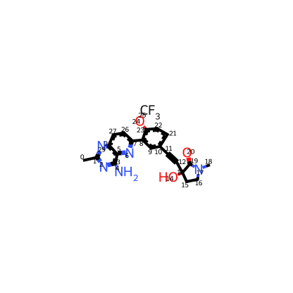 Cc1nc(N)c2nc(-c3cc(C#CC4(O)CCN(C)C4=O)ccc3OC(F)(F)F)ccc2n1